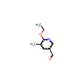 CCOc1ncc(C=O)cc1C